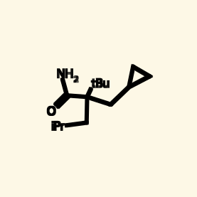 CC(C)CC(CC1CC1)(C(N)=O)C(C)(C)C